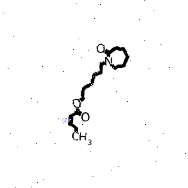 CC/C=C\C(=O)OCCCCCCN1CCCCCC1=O